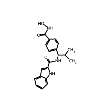 CC(C)[C@@H](NC(=O)c1cc2ccccc2[nH]1)c1ccc(C(=O)NO)cc1